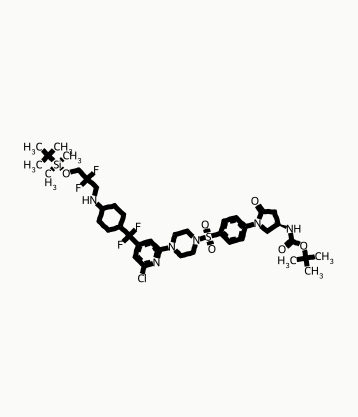 CC(C)(C)OC(=O)N[C@@H]1CC(=O)N(c2ccc(S(=O)(=O)N3CCN(c4cc(C(F)(F)C5CCC(NCC(F)(F)CO[Si](C)(C)C(C)(C)C)CC5)cc(Cl)n4)CC3)cc2)C1